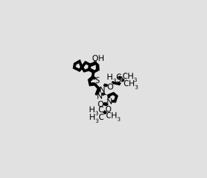 CC(C)(C)OC(=O)N1CCC[C@H]1c1ncc(-c2ccc(-c3ccc(O)c4c3CC3(CCCC3)C4)s2)n1COCC[Si](C)(C)C